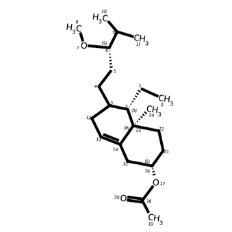 CC[C@H]1C(CC[C@H](OC)C(C)C)CC=C2C[C@@H](OC(C)=O)CC[C@@]21C